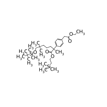 CCOC(=O)Cc1ccc(C(C)(CCCC(C)(C)CO[Si](C)(C)C(C)(C)C)C(=O)OCC[Si](C)(C)C)cc1